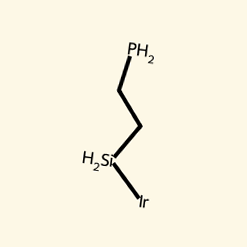 PCC[SiH2][Ir]